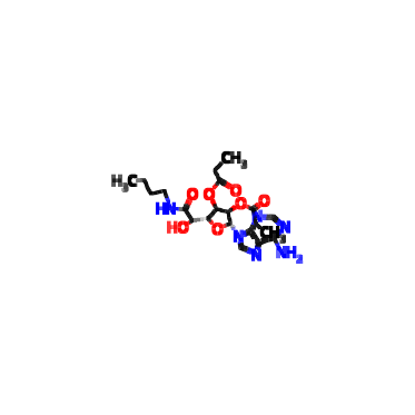 CCCCNC(=O)C(O)[C@H]1O[C@@H](n2cnc3c(N)ncnc32)[C@H](OC(=O)CC)[C@@H]1OC(=O)CC